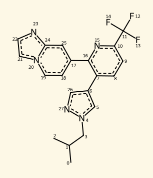 CC(C)Cn1cc(-c2ccc(C(F)(F)F)nc2-c2ccn3ccnc3c2)cn1